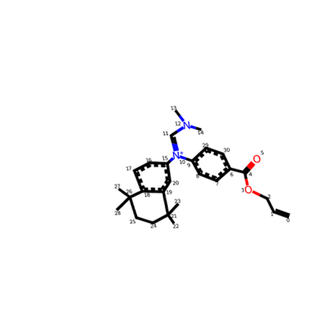 C=CCOC(=O)c1ccc([N+](=CN(C)C)c2ccc3c(c2)C(C)(C)CCC3(C)C)cc1